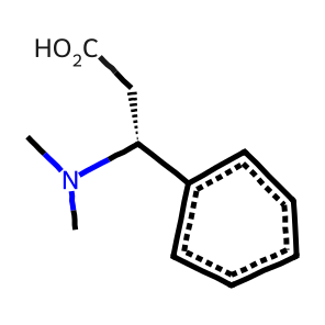 CN(C)[C@H](CC(=O)O)c1ccccc1